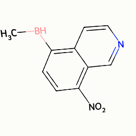 CBc1ccc([N+](=O)[O-])c2cnccc12